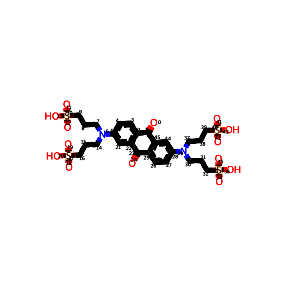 O=C1c2ccc(N(CCCS(=O)(=O)O)CCCS(=O)(=O)O)cc2C(=O)c2ccc(N(CCCS(=O)(=O)O)CCCS(=O)(=O)O)cc21